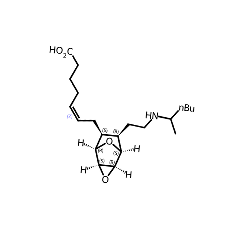 CCCCC(C)NCC[C@@H]1[C@H](C/C=C\CCCC(=O)O)[C@H]2O[C@@H]1[C@H]1O[C@H]12